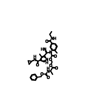 CCNC(=O)c1ccc(C)c(N(C(=N)c2[nH]cc(C(=O)NC3CC3)c2C)C(=O)OCOC(=O)C(C)NC(=O)OCc2ccccc2)c1